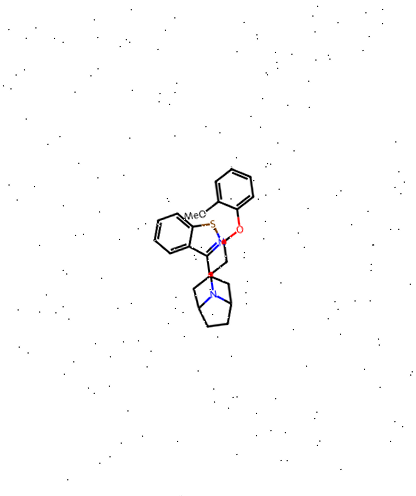 COc1c[c]ccc1OCCCN1C2CCC1CC(c1nsc3ccccc13)C2